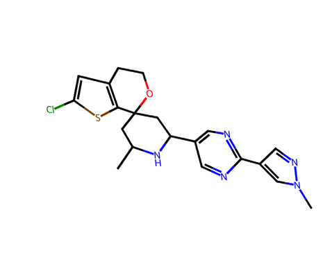 CC1CC2(CC(c3cnc(-c4cnn(C)c4)nc3)N1)OCCc1cc(Cl)sc12